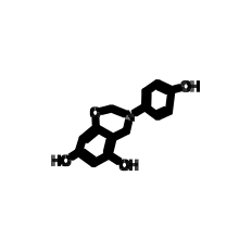 Oc1ccc(N2COc3cc(O)cc(O)c3C2)cc1